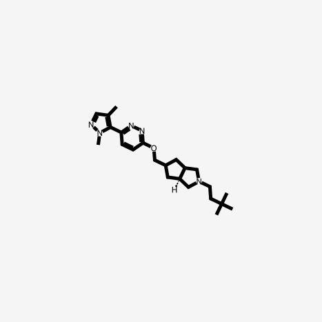 Cc1cnn(C)c1-c1ccc(OCC2CC3CN(CCC(C)(C)C)C[C@H]3C2)nn1